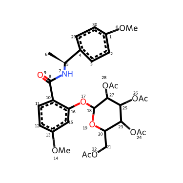 COc1ccc([C@H](C)NC(=O)c2ccc(OC)cc2OC2OC(COC(C)=O)C(OC(C)=O)C(OC(C)=O)C2OC(C)=O)cc1